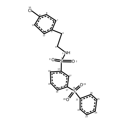 O=S(=O)(NCCc1ccc(Cl)cc1)c1cccc(S(=O)(=O)c2ccccc2)c1